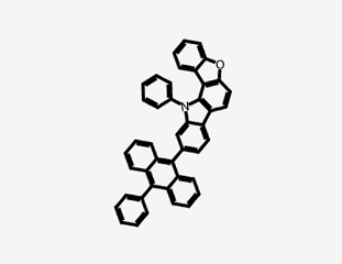 c1ccc(-c2c3ccccc3c(-c3ccc4c5ccc6oc7ccccc7c6c5n(-c5ccccc5)c4c3)c3ccccc23)cc1